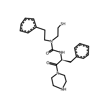 O=C(N[C@@H](Cc1ccccc1)C(=O)N1CCNCC1)N(CCS)CCc1ccccc1